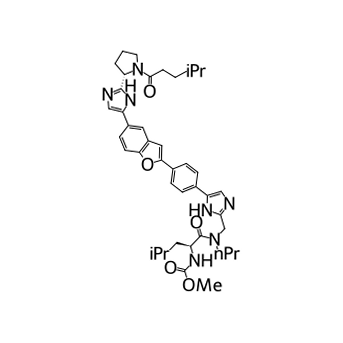 CCCN(Cc1ncc(-c2ccc(-c3cc4cc(-c5cnc([C@@H]6CCCN6C(=O)CCC(C)C)[nH]5)ccc4o3)cc2)[nH]1)C(=O)[C@H](CC(C)C)NC(=O)OC